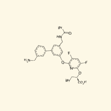 CC(C)C[C@@H](Oc1nc(Oc2cc(CNC(=O)C(C)C)cc(-c3cccc(CN)c3)c2)c(F)cc1F)C(=O)O